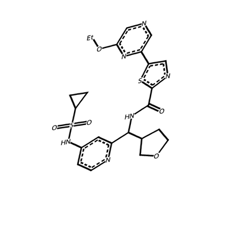 CCOc1cncc(-c2cnc(C(=O)NC(c3cc(NS(=O)(=O)C4CC4)ccn3)C3CCOC3)s2)n1